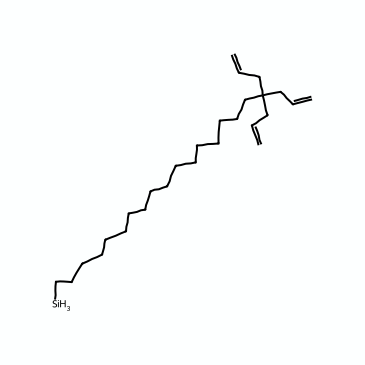 C=CCC(CC=C)(CC=C)CCCCCCCCCCCCCCCCC[SiH3]